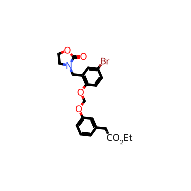 CCOC(=O)Cc1cccc(OCOc2ccc(Br)cc2CN2CCOC2=O)c1